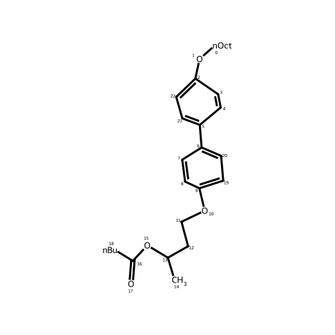 CCCCCCCCOc1ccc(-c2ccc(OCCC(C)OC(=O)CCCC)cc2)cc1